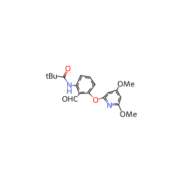 COc1cc(OC)nc(Oc2cccc(NC(=O)C(C)(C)C)c2C=O)c1